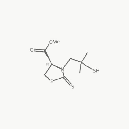 COC(=O)[C@@H]1CSC(=S)N1CC(C)(C)S